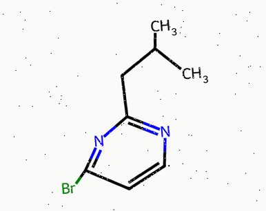 CC(C)Cc1n[c]cc(Br)n1